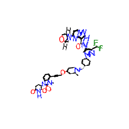 C[C@H]1C[C@@H](OCC#Cc2cccc3c2n(C)c(=O)n3C2CCC(=O)NC2=O)CCN1C[C@H]1CC[C@H](n2cc(NC(=O)c3cnn4ccc(N5C[C@H]6C[C@@H]5CO6)nc34)c(C(F)F)n2)CC1